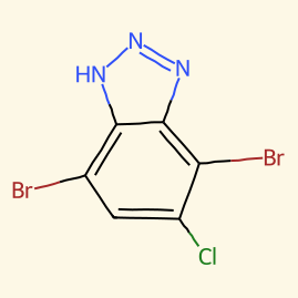 Clc1cc(Br)c2[nH]nnc2c1Br